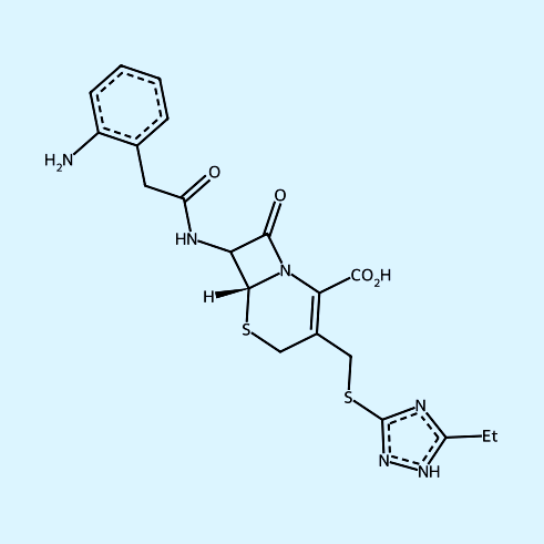 CCc1nc(SCC2=C(C(=O)O)N3C(=O)C(NC(=O)Cc4ccccc4N)[C@H]3SC2)n[nH]1